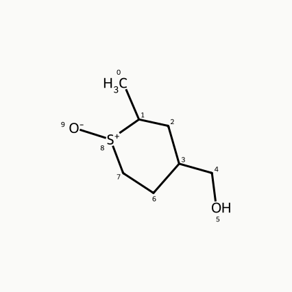 CC1CC(CO)CC[S+]1[O-]